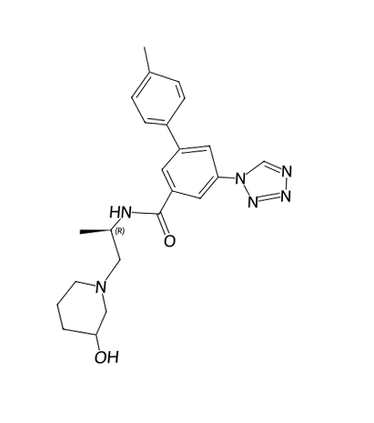 Cc1ccc(-c2cc(C(=O)N[C@H](C)CN3CCCC(O)C3)cc(-n3cnnn3)c2)cc1